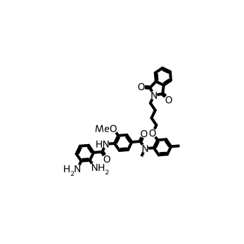 COc1cc(C(=O)N(C)c2ccc(C)cc2OCCCCN2C(=O)c3ccccc3C2=O)ccc1NC(=O)c1cccc(N)c1N